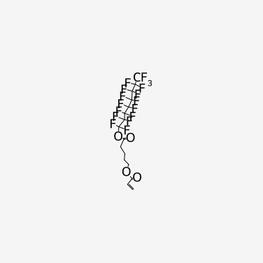 C=CC(=O)OCCCCC(=O)OC(F)(F)C(F)(F)C(F)(F)C(F)(F)C(F)(F)C(F)(F)C(F)(F)C(F)(F)F